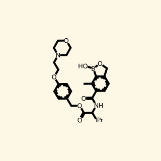 Cc1c(C(=O)NC(C(=O)OCc2ccc(OCCN3CCOCC3)cc2)C(C)C)ccc2c1B(O)OC2